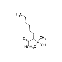 CCCCCCC(C(=O)O)C(C)(C)O